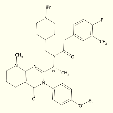 CCOc1ccc(-n2c([C@@H](C)N(CC3CCN(C(C)C)CC3)C(=O)Cc3ccc(F)c(C(F)(F)F)c3)nc3c(c2=O)CCCN3C)cc1